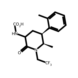 Cc1ccccc1[C@@H]1CC(NC(=O)O)C(=O)N(CC(F)(F)F)[C@@H]1C